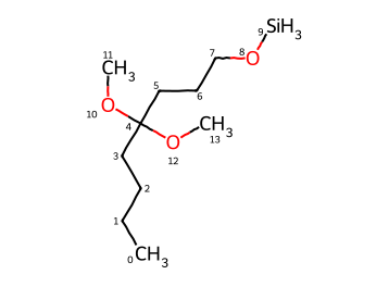 CCCCC(CCCO[SiH3])(OC)OC